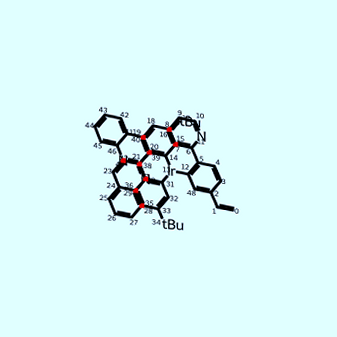 C=Cc1ccc(-c2ccccn2)[c]([Ir]([c]2cc(C(C)(C)C)ccc2-c2ccc3ccccc3n2)[c]2cc(C(C)(C)C)ccc2-c2ccc3ccccc3n2)c1